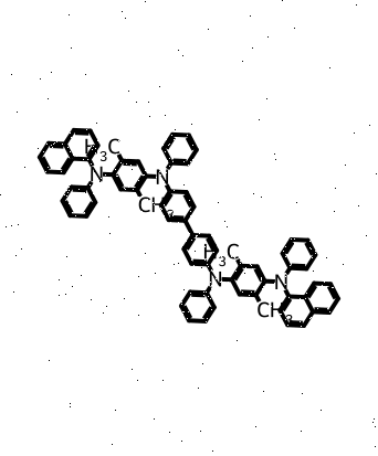 Cc1cc(N(c2ccccc2)c2cccc3ccccc23)c(C)cc1N(c1ccccc1)c1ccc(-c2ccc(N(c3ccccc3)c3cc(C)c(N(c4ccccc4)c4cccc5ccccc45)cc3C)cc2)cc1